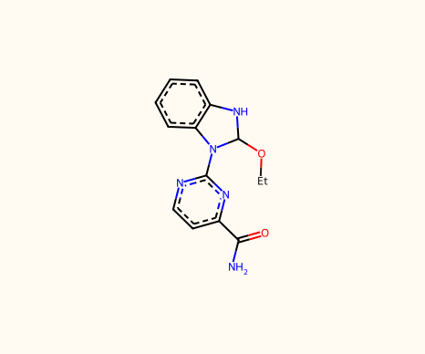 CCOC1Nc2ccccc2N1c1nccc(C(N)=O)n1